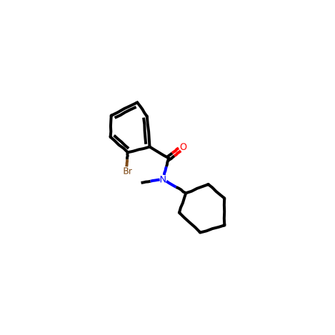 CN(C(=O)c1ccccc1Br)C1CCCCC1